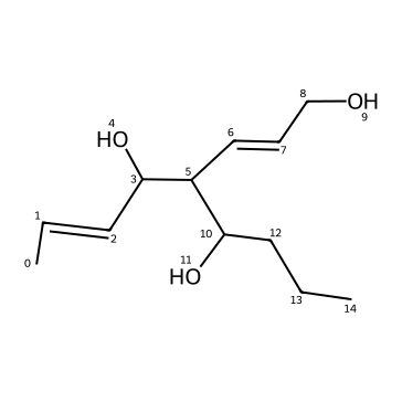 CC=CC(O)C(C=CCO)C(O)CCC